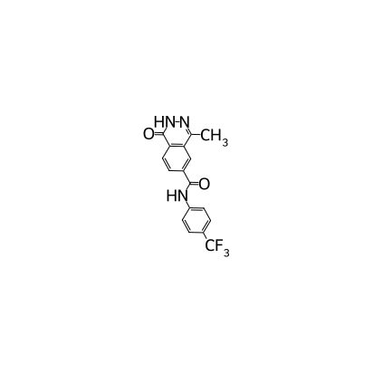 Cc1n[nH]c(=O)c2ccc(C(=O)Nc3ccc(C(F)(F)F)cc3)cc12